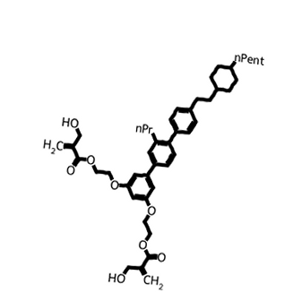 C=C(CO)C(=O)OCCOc1cc(OCCOC(=O)C(=C)CO)cc(-c2ccc(-c3ccc(CCC4CCC(CCCCC)CC4)cc3)c(CCC)c2)c1